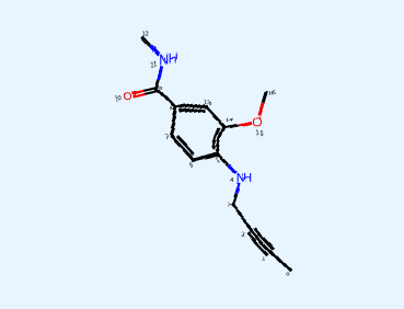 CC#CCNc1ccc(C(=O)NC)cc1OC